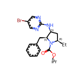 CC[C@@H]1C[C@H](Nc2ncc(Br)cn2)[C@H](Cc2ccccc2)N1C(=O)OC(C)C